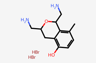 Br.Br.Cc1ccc(O)c2c1C(CN)OC(CN)C2